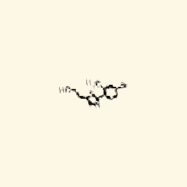 Cc1cc(Br)ccc1-c1ncc(CCO)s1